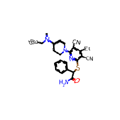 CCc1c(C#N)c(SC(C(N)=O)c2ccccc2)nc(N2CCC(N(C)CC(C)(C)C)CC2)c1C#N